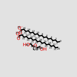 CCCCCCCCCCCCCCCCCC(=O)[O-].CCCCCCCCCCCCCCCCCC(=O)[O-].OCCOCCO.[Ca+2]